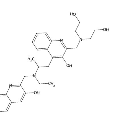 CCN(Cc1nc2ccccc2cc1O)C(C)Cc1c(O)c(CN(CCO)CCO)nc2ccccc12